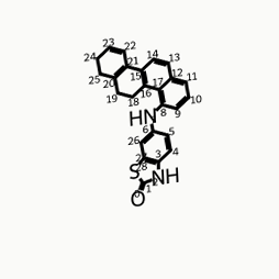 O=c1[nH]c2ccc(Nc3cccc4ccc5c(c34)CCC3=C5C=CCC3)cc2s1